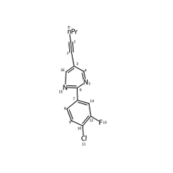 CCCC#Cc1cnc(-c2ccc(Cl)c(F)c2)nc1